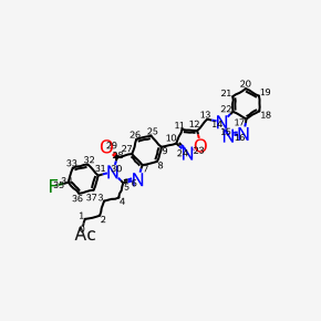 CC(=O)CCCCc1nc2cc(-c3cc(Cn4nnc5ccccc54)on3)ccc2c(=O)n1-c1ccc(F)cc1